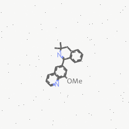 COc1cc(C2=NC(C)(C)Cc3ccccc32)cc2cccnc12